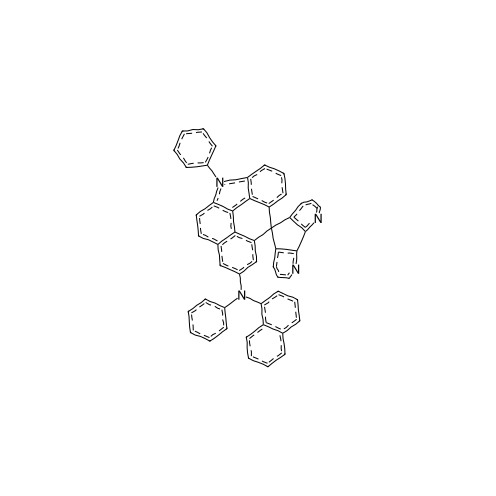 c1ccc(N(c2cc3c4c(ccc5c4c4c(cccc4n5-c4ccccc4)C34c3cccnc3-c3ncccc34)c2)c2cccc3ccccc23)cc1